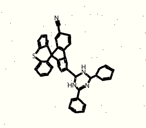 N#Cc1ccc2c(c1)C1(c3ccccc3Sc3ccccc31)c1ccc(C3NC(c4ccccc4)=NC(C4C=CC=CC4)N3)cc1-2